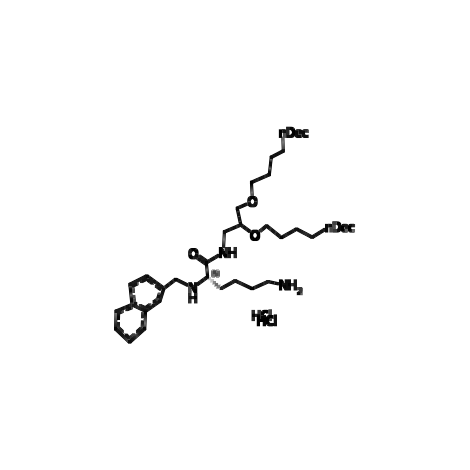 CCCCCCCCCCCCCCOCC(CNC(=O)[C@H](CCCCN)NCc1ccc2ccccc2c1)OCCCCCCCCCCCCCC.Cl.Cl